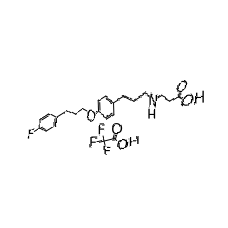 O=C(O)C(F)(F)F.O=C(O)CCNCCCc1ccc(OCCCc2ccc(F)cc2)cc1